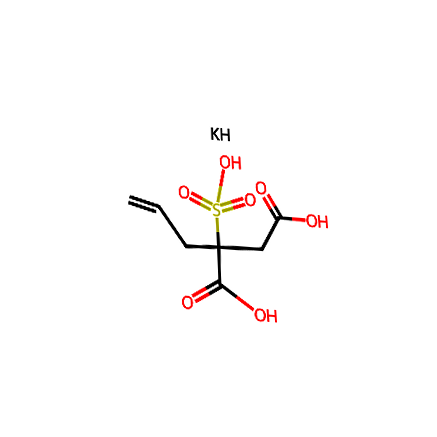 C=CCC(CC(=O)O)(C(=O)O)S(=O)(=O)O.[KH]